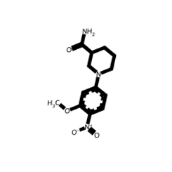 COc1cc(N2CCCC(C(N)=O)C2)ccc1[N+](=O)[O-]